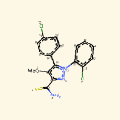 COc1c(C(N)=S)nn(-c2ccccc2Cl)c1-c1ccc(Cl)cc1